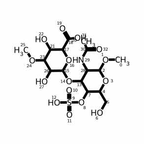 COC1OC(CO)C(OS(=O)(=O)O)C(OC2OC(C(=O)O)C(O)C(OC)C2O)C1NC(C)=O